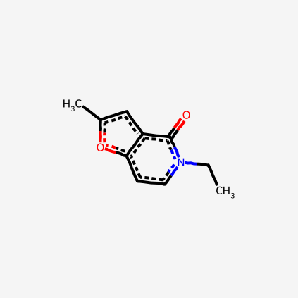 CCn1ccc2oc(C)cc2c1=O